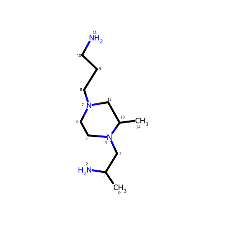 CC(N)CN1CCN(CCCN)CC1C